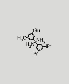 Cc1cc(C(C)(C)C)cc(C(N)(N)c2cc(C(C)C)cc(C(C)C)c2)c1